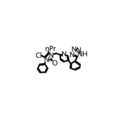 CCCc1c(Cl)n(-c2ccccc2)c(=O)n1Cc1ccc(-c2ccccc2-c2nnn[nH]2)cn1